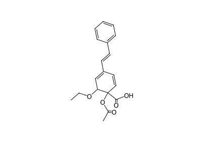 CCOC1C=C(C=Cc2ccccc2)C=CC1(OC(C)=O)C(=O)O